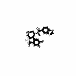 CN(C(=O)c1ccc2ncsc2c1)[C@@H]1CNCc2[nH]c(=O)c3cc(F)c(F)cc3c21